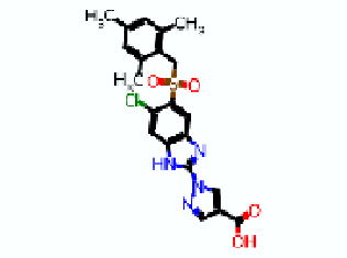 Cc1cc(C)c(CS(=O)(=O)c2cc3nc(-n4cc(C(=O)O)cn4)[nH]c3cc2Cl)c(C)c1